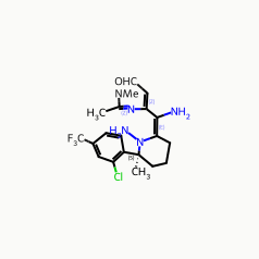 CN\C(C)=N/C(=C\C=O)C(/N)=C1/CCC[C@@](C)(c2ccc(C(F)(F)F)cc2Cl)N1N